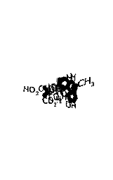 CN1CC[C@]23c4c5ccc(O)c4O[C@H]2[C@@H](O)C=C[C@H]3[C@H]1C5.O=C(O)CC(O)(CC(=O)O)C(=O)O